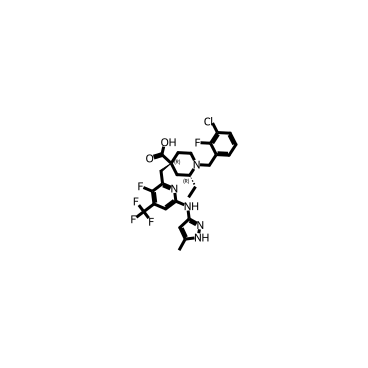 CC[C@@H]1C[C@](Cc2nc(Nc3cc(C)[nH]n3)cc(C(F)(F)F)c2F)(C(=O)O)CCN1Cc1cccc(Cl)c1F